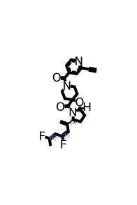 C#Cc1cc(C(=O)N2CCC3(CC2)O[C@@H]2CC[C@@H](C(=C)/C=C(F)\C=C(/C)F)N2C3=O)ccn1